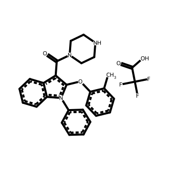 Cc1ccccc1Oc1c(C(=O)N2CCNCC2)c2ccccc2n1-c1ccccc1.O=C(O)C(F)(F)F